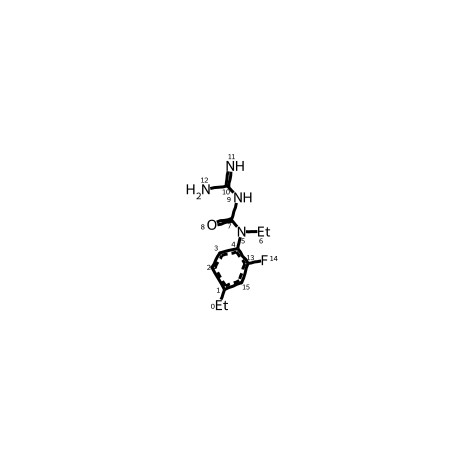 CCc1ccc(N(CC)C(=O)NC(=N)N)c(F)c1